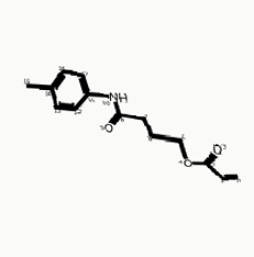 C=CC(=O)OCCCC(=O)Nc1ccc(C)cc1